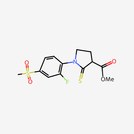 COC(=O)C1CCN(c2ccc(S(C)(=O)=O)cc2F)C1=S